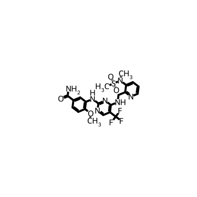 COc1ccc(C(N)=O)cc1Nc1ncc(C(F)(F)F)c(NCc2ncccc2N(C)S(C)(=O)=O)n1